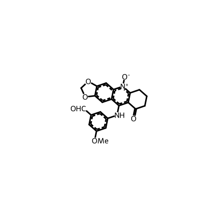 COc1cc(C=O)cc(Nc2c3c([n+]([O-])c4cc5c(cc24)OCO5)CCCC3=O)c1